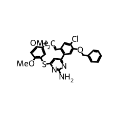 C=Cc1cc(Cl)c(OCc2ccccc2)cc1-c1cc(Sc2cc(OC)ccc2OC)nc(N)n1